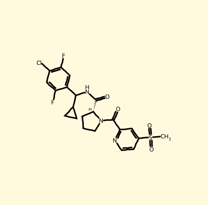 CS(=O)(=O)c1ccnc(C(=O)N2CCC[C@@H]2C(=O)NC(c2cc(F)c(Cl)cc2F)C2CC2)c1